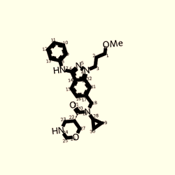 COCCCn1nc(Nc2ccccc2)c2ccc(CN(C(=O)[C@H]3CNCOC3)C3CC3)cc21